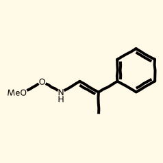 COON/C=C(\C)c1ccccc1